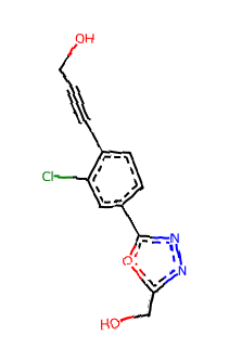 OCC#Cc1ccc(-c2nnc(CO)o2)cc1Cl